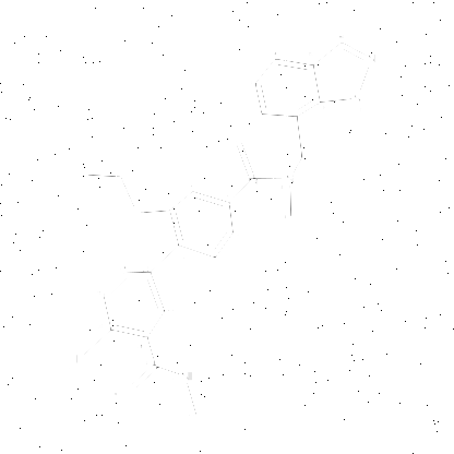 CCOc1cc(C(=O)N(C)Cc2cccc3cn[nH]c23)ccc1-c1ccc(F)c(C(=O)NC)c1